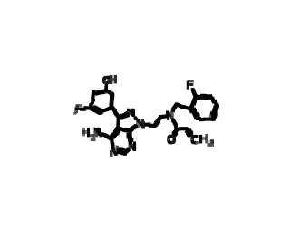 C=CC(=O)N(CCn1nc(-c2cc(O)cc(F)c2)c2c(N)ncnc21)Cc1ccccc1F